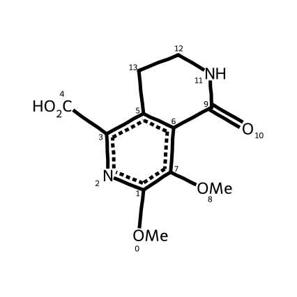 COc1nc(C(=O)O)c2c(c1OC)C(=O)NCC2